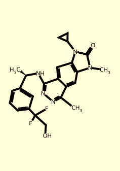 Cc1nnc(N[C@H](C)c2cccc(C(F)(F)CO)c2)c2cc3c(cc12)n(C)c(=O)n3C1CC1